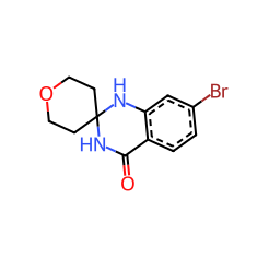 O=C1NC2(CCOCC2)Nc2cc(Br)ccc21